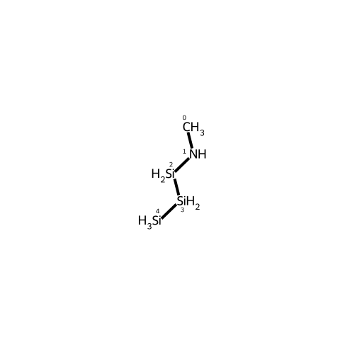 CN[SiH2][SiH2][SiH3]